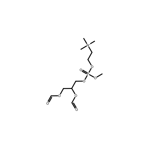 COP(=O)(OCC[N+](C)(C)C)OCC(COC=O)OC=O